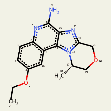 CCOc1ccc2nc(N)c3nc4n(c3c2c1)[C@@H](C)COC4